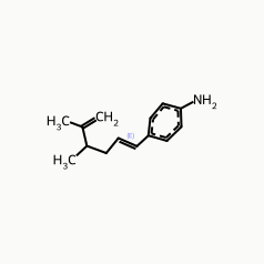 C=C(C)C(C)C/C=C/c1ccc(N)cc1